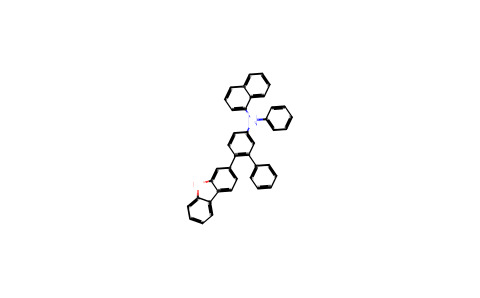 c1ccc(-c2cc(N(c3ccccc3)c3cccc4ccccc34)ccc2-c2ccc3c(c2)oc2ccccc23)cc1